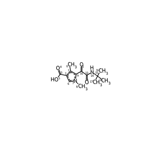 Cc1c(C(=O)O)cn(C)c1C(=O)C(=O)NC(C)(C)C